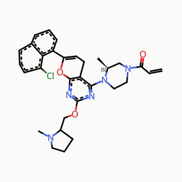 C=CC(=O)N1CCN(c2nc(OCC3CCCN3C)nc3c2CC=C(c2cccc4cccc(Cl)c24)O3)[C@@H](C)C1